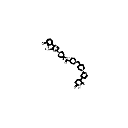 CC1(NC(=O)C2CCN(CC3CCN(c4cc(C5CCC(=O)NC5=O)ccn4)CC3)CC2)CCN(c2cnc(-c3cccc(Cl)c3Cl)c(N)n2)CC1